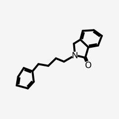 O=C1c2ccccc2CN1CCCCc1ccccc1